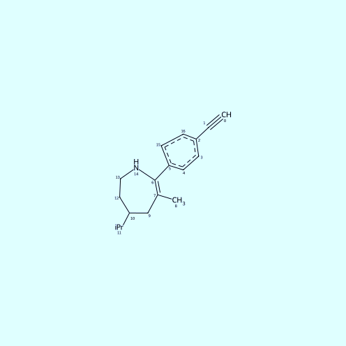 C#Cc1ccc(C2=C(C)CC(C(C)C)CCN2)cc1